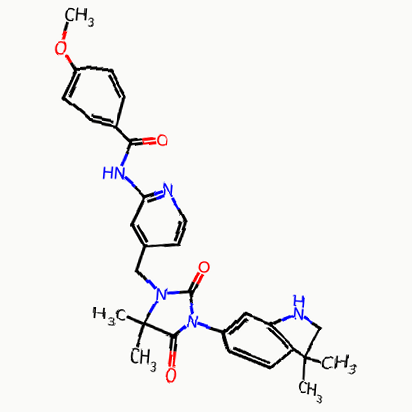 COc1ccc(C(=O)Nc2cc(CN3C(=O)N(c4ccc5c(c4)NCC5(C)C)C(=O)C3(C)C)ccn2)cc1